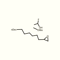 CC(O)F.CCCCCCCCCCCCCCCCC1CO1.COC